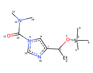 CCC(O[Si](C)(C)C)c1cn(C(=O)N(C)C)cn1